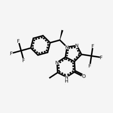 Cc1nc2c(c(C(F)(F)F)nn2[C@H](C)c2ccc(C(F)(F)F)cc2)c(=O)[nH]1